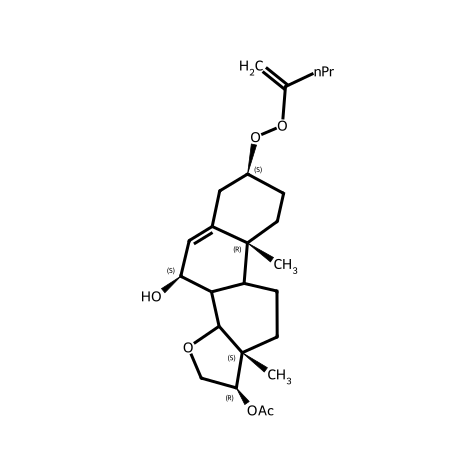 C=C(CCC)OO[C@H]1CC[C@@]2(C)C(=C[C@H](O)C3C2CC[C@@]2(C)C3OC[C@@H]2OC(C)=O)C1